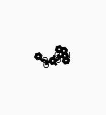 Cc1cc(C(=O)OCc2ccccc2)cc(C)c1OC(=O)c1c2ccccc2nc2ccc3ccccc3c12